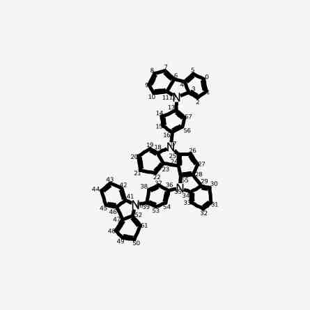 c1ccc2c(c1)c1ccccc1n2-c1ccc(-n2c3ccccc3c3c2ccc2c4ccccc4n(-c4ccc(-n5c6ccccc6c6ccccc65)cc4)c23)cc1